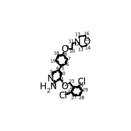 Nc1ncc(-c2ccc(OCCN3CCOCC3)cc2)cc1OCc1c(Cl)cccc1Cl